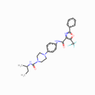 CCC(C)NC(=O)N1CCN(c2ccc(NC(=O)c3nc(-c4ccccc4)oc3C(F)(F)F)cc2)CC1